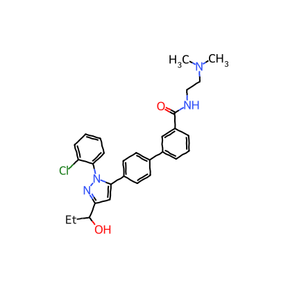 CCC(O)c1cc(-c2ccc(-c3cccc(C(=O)NCCN(C)C)c3)cc2)n(-c2ccccc2Cl)n1